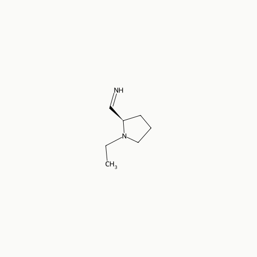 CCN1CCC[C@@H]1C=N